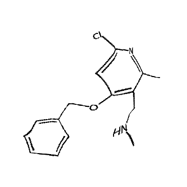 CNCc1c(OCc2ccccc2)cc(Cl)nc1C